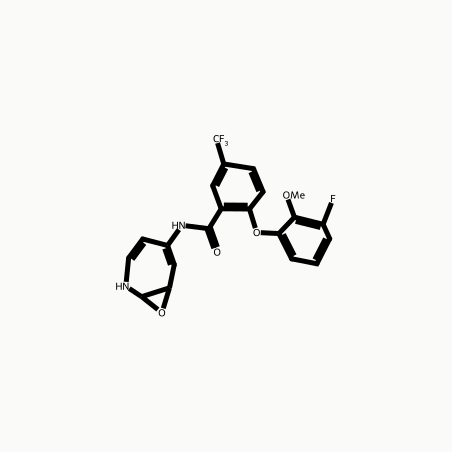 COc1c(F)cccc1Oc1ccc(C(F)(F)F)cc1C(=O)NC1=CC2OC2NC=C1